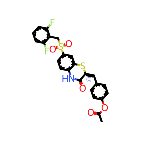 CC(=O)Oc1ccc(/C=C2/Sc3cc(S(=O)(=O)Cc4c(F)cccc4F)ccc3NC2=O)cc1